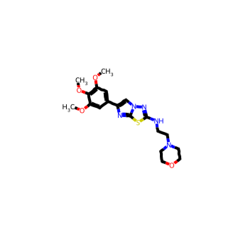 COc1cc(-c2cn3nc(NCCN4CCOCC4)sc3n2)cc(OC)c1OC